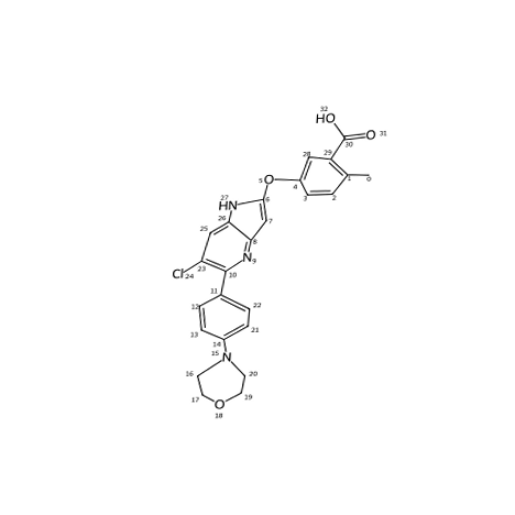 Cc1ccc(Oc2cc3nc(-c4ccc(N5CCOCC5)cc4)c(Cl)cc3[nH]2)cc1C(=O)O